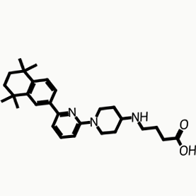 CC1(C)CCC(C)(C)c2cc(-c3cccc(N4CCC(NCCCC(=O)O)CC4)n3)ccc21